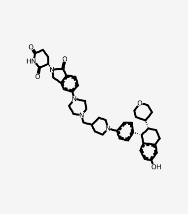 O=C1CC[C@H](N2Cc3cc(N4CCN(CC5CCN(c6ccc([C@H]7c8ccc(O)cc8CC[C@H]7C7CCOCC7)cc6)CC5)CC4)ccc3C2=O)C(=O)N1